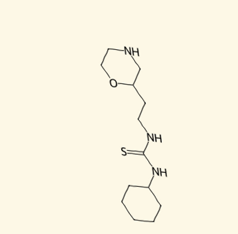 S=C(NCCC1CNCCO1)NC1CCCCC1